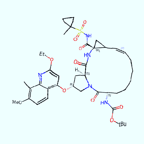 CCOc1cc(O[C@@H]2C[C@H]3C(=O)N[C@]4(C(=O)NS(=O)(=O)C5(C)CC5)CC4/C=C\CCCCC[C@H](NC(=O)OC(C)(C)C)C(=O)N3C2)c2ccc(OC)c(C)c2n1